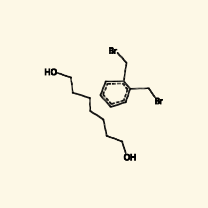 BrCc1ccccc1CBr.OCCCCCCCO